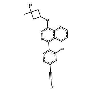 CC1(O)CC(Nc2nnc(-c3ccc(C#CBr)cc3O)c3ccccc23)C1